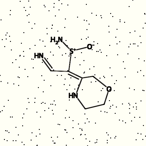 N=C/C(=C1/COCCN1)[S+](N)[O-]